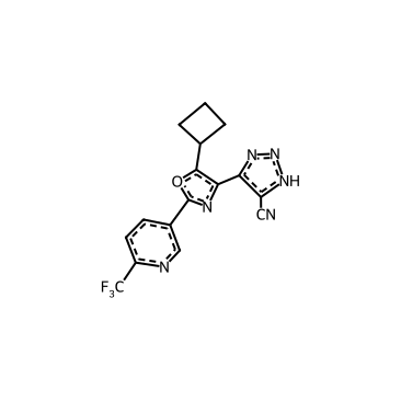 N#Cc1[nH]nnc1-c1nc(-c2ccc(C(F)(F)F)nc2)oc1C1CCC1